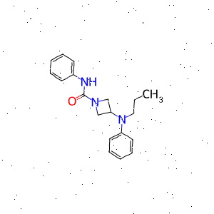 CCCN(c1ccccc1)C1CN(C(=O)Nc2ccccc2)C1